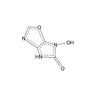 O=c1[nH]c2ncoc2n1O